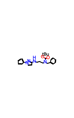 CC(C)(C)OC(=O)N(CCCNc1ccn(-c2ccccc2)n1)Cc1ccccc1